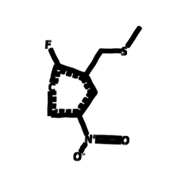 CSCc1cc([N+](=O)[O-])ccc1F